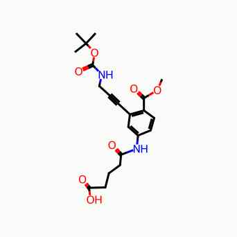 COC(=O)c1ccc(NC(=O)CCCC(=O)O)cc1C#CCNC(=O)OC(C)(C)C